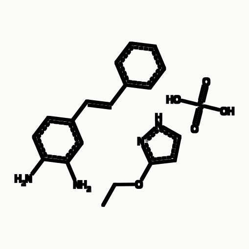 CCOc1cc[nH]n1.Nc1ccc(C=Cc2ccccc2)cc1N.O=S(=O)(O)O